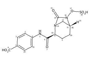 O=C(O)c1ccc(NC(=O)[C@@H]2CC[C@@H]3CN2C(=O)N3OS(=O)(=O)O)cc1